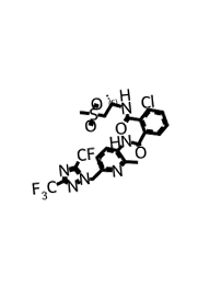 Cc1nc(Cn2nc(C(F)(F)F)nc2C(F)(F)F)ccc1NC(=O)c1cccc(Cl)c1C(=O)N[C@@H](C)CS(C)(=O)=O